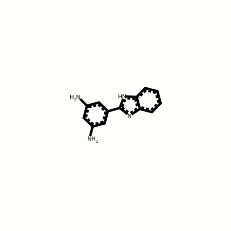 Nc1cc(N)cc(-c2nc3ccccc3[nH]2)c1